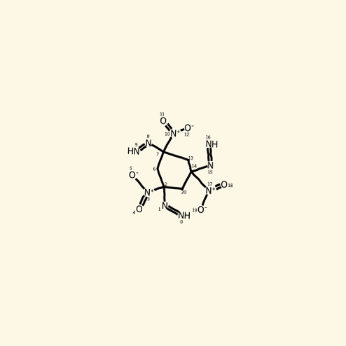 N=NC1([N+](=O)[O-])CC(N=N)([N+](=O)[O-])CC(N=N)([N+](=O)[O-])C1